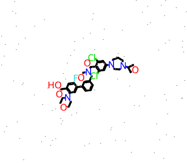 O=C(O)c1cc(F)c(-c2cccc3c2OCN(C(=O)c2c(Cl)cc(N4CCCN(C5COC5)CC4)cc2Cl)C3)cc1N1CCOCC1